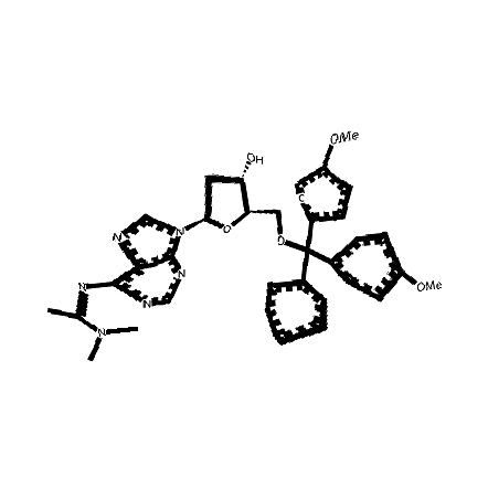 COc1ccc(C(OC[C@H]2O[C@@H](n3cnc4c(N=C(C)N(C)C)ncnc43)C[C@@H]2O)(c2ccccc2)c2ccc(OC)cc2)cc1